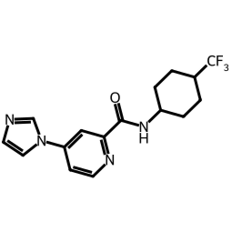 O=C(NC1CCC(C(F)(F)F)CC1)c1cc(-n2ccnc2)ccn1